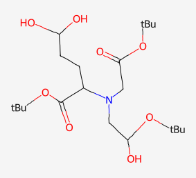 CC(C)(C)OC(=O)CN(CC(O)OC(C)(C)C)C(CCC(O)O)C(=O)OC(C)(C)C